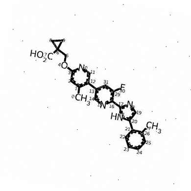 Cc1cc(OCC2(C(=O)O)CC2)ncc1-c1cnc(-c2ncc(-c3ccccc3C)[nH]2)c(F)c1